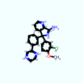 COc1ccc(C2(c3cccc(-c4cnccn4)c3)N=C(N)c3ncccc32)cc1Cl